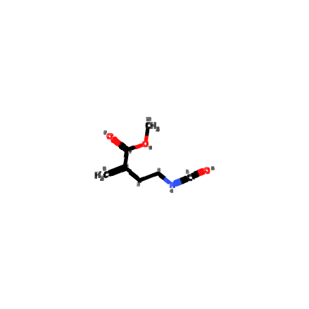 C=C(CCN=C=O)C(=O)OC